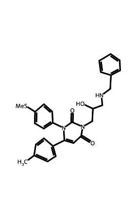 CSc1ccc(-n2c(-c3ccc(C)cc3)cc(=O)n(CC(O)CNCc3ccccc3)c2=O)cc1